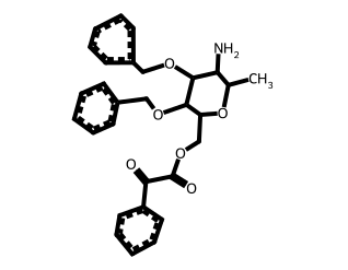 CC1OC(COC(=O)C(=O)c2ccccc2)C(OCc2ccccc2)C(OCc2ccccc2)C1N